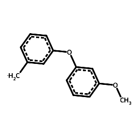 [CH2]c1cccc(Oc2cccc(OC)c2)c1